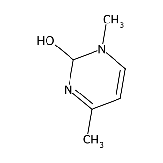 CC1=NC(O)N(C)C=C1